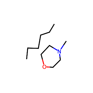 CCCCCC.CN1CCOCC1